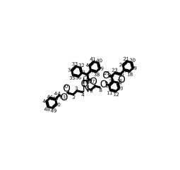 O=C(CCCNCC(COc1cccc2oc(-c3ccccc3)cc(=O)c12)OC(=O)C(c1ccccc1)c1ccccc1)OCc1ccccc1